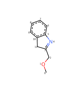 COCC1=Nc2ccccc2C1